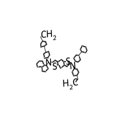 C=Cc1ccc(-c2ccc(N(c3cc4cc5sc(N(c6ccc(C=C)cc6)c6ccc(-c7ccccc7)cc6)cc5cc4s3)c3cccc4ccccc34)cc2)cc1